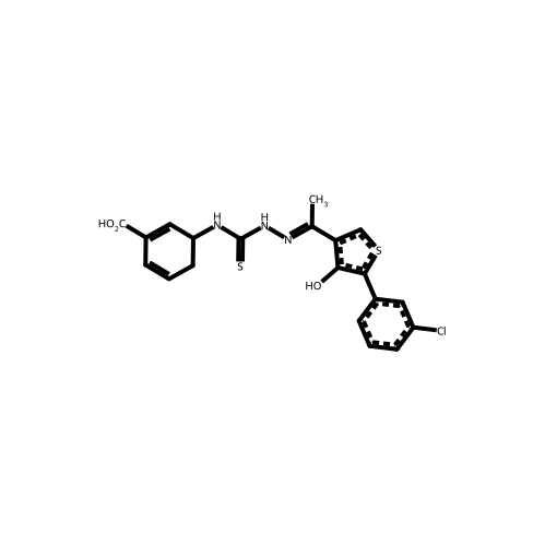 C/C(=N\NC(=S)NC1C=C(C(=O)O)C=CC1)c1csc(-c2cccc(Cl)c2)c1O